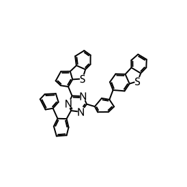 c1ccc(-c2ccccc2-c2nc(-c3cccc(-c4ccc5c(c4)sc4ccccc45)c3)nc(-c3cccc4c3sc3ccccc34)n2)cc1